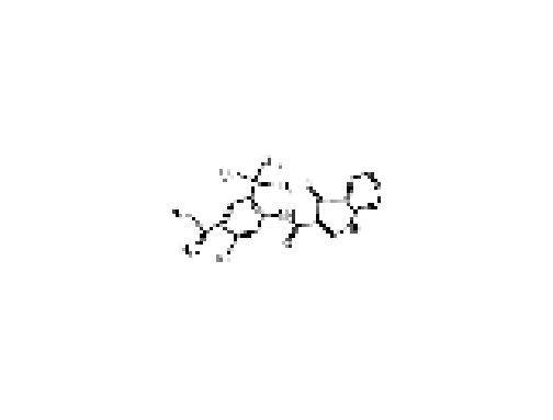 C=C(C)c1cc(C(C)(C)C)c(NC(=O)c2c[nH]c3ccccc3c2=O)cc1O